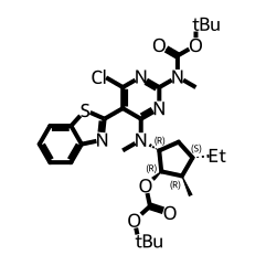 CC[C@H]1C[C@@H](N(C)c2nc(N(C)C(=O)OC(C)(C)C)nc(Cl)c2-c2nc3ccccc3s2)[C@H](OC(=O)OC(C)(C)C)[C@@H]1C